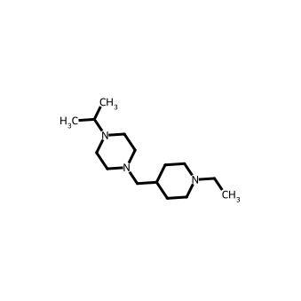 CCN1CCC(CN2CCN(C(C)C)CC2)CC1